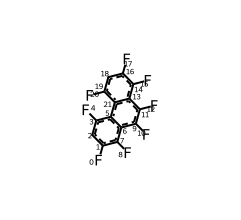 Fc1cc(F)c2c(c1F)c(F)c(F)c1c(F)c(F)cc(F)c12